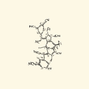 Cc1c2c(c(F)c3c1/C(=C(\C#N)c1cc(C#N)cc(C#N)c1)C(F)=C3C#N)C(C#N)=C(F)/C2=C(/C#N)c1cc(C#N)cc(C#N)c1